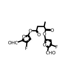 CC(CC(=O)Oc1cc(F)c(C=O)o1)C(=O)Oc1cc(F)c(C=O)o1